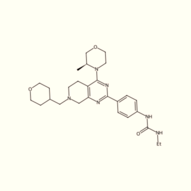 CCNC(=O)Nc1ccc(-c2nc3c(c(N4CCOC[C@@H]4C)n2)CCN(CC2CCOCC2)C3)cc1